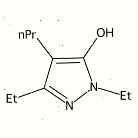 CCCc1c(CC)nn(CC)c1O